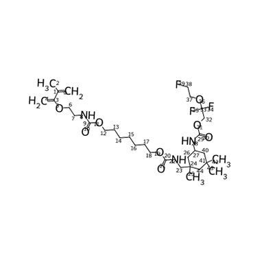 C=C(C)C(=C)OCCNC(=O)OCCCCCCCOC(=O)NCC1(C)CC(NC(=O)OCC(F)(F)OCCF)CC(C)(C)C1